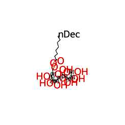 CCCCCCCCCCCCCCCCCC(=O)OOC[C@H]1O[C@H](O[C@]2(CO)O[C@H](CO)[C@@H](O)[C@@H]2O)[C@H](O)[C@@H](O)[C@@H]1O